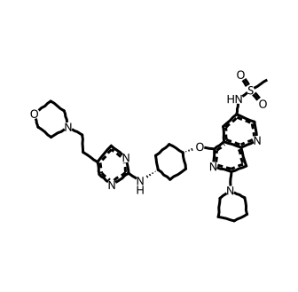 CS(=O)(=O)Nc1cnc2cc(N3CCCCC3)nc(O[C@H]3CC[C@@H](Nc4ncc(CCN5CCOCC5)cn4)CC3)c2c1